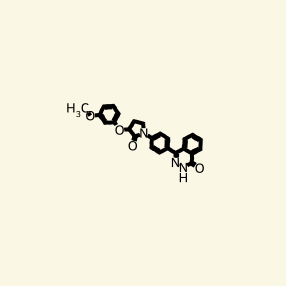 COc1cccc(OC2CCN(c3ccc(-c4n[nH]c(=O)c5ccccc45)cc3)C2=O)c1